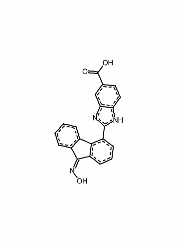 O=C(O)c1ccc2[nH]c(-c3cccc4c3-c3ccccc3/C4=N/O)nc2c1